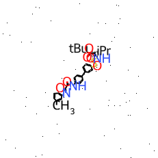 Cc1ccc2oc(C(=O)Nc3ccc(-c4ccc(S(=O)(=O)N[C@H](C(=O)OC(C)(C)C)C(C)C)cc4)cc3)nc2c1